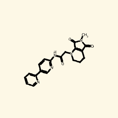 CN1C(=O)C2=C(C1=O)N(CC(=O)Nc1ccc(-c3ccccn3)cn1)CCC2